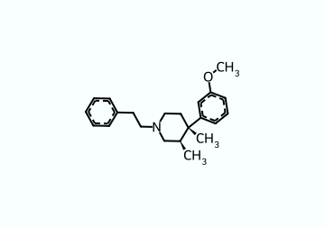 COc1cccc([C@@]2(C)CCN(CCc3ccccc3)C[C@@H]2C)c1